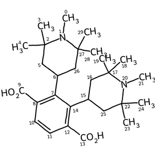 CN1C(C)(C)CC(c2c(C(=O)O)ccc(C(=O)O)c2C2CC(C)(C)N(C)C(C)(C)C2)CC1(C)C